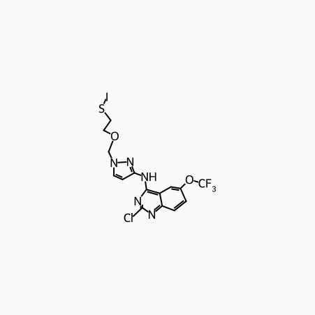 FC(F)(F)Oc1ccc2nc(Cl)nc(Nc3ccn(COCCSI)n3)c2c1